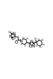 Cc1noc(CC(=O)N2CCC(c3nc(C4(C)CCCCC4)no3)CC2)n1